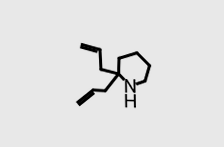 C=CCC1(CC=C)CCCCN1